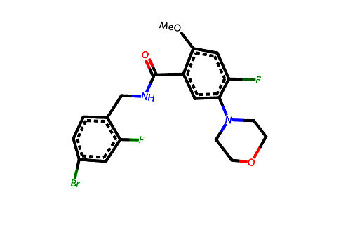 COc1cc(F)c(N2CCOCC2)cc1C(=O)NCc1ccc(Br)cc1F